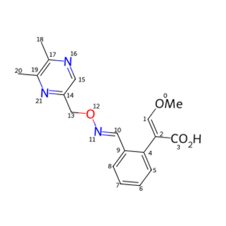 COC=C(C(=O)O)c1ccccc1C=NOCc1cnc(C)c(C)n1